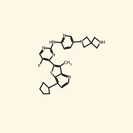 Cc1c(-c2nc(Nc3ccc(N4CC5(CNC5)C4)cn3)ncc2F)sc2c(C3CCCC3)ccnc12